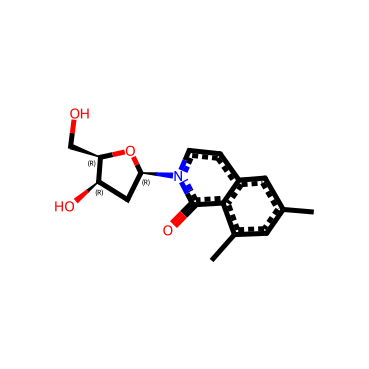 Cc1cc(C)c2c(=O)n([C@H]3C[C@@H](O)[C@@H](CO)O3)ccc2c1